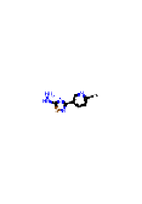 CC(C)c1ccc(-c2nsc(NN)n2)cn1